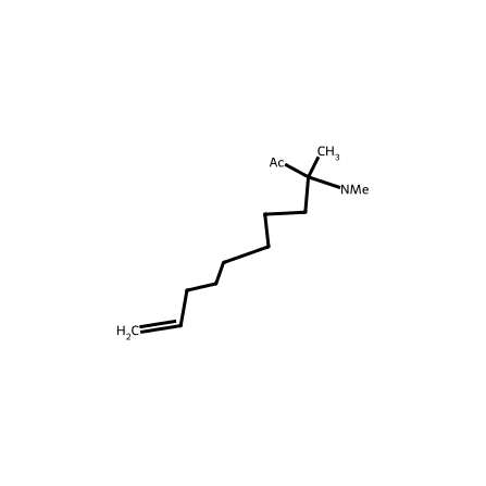 C=CCCCCCCC(C)(NC)C(C)=O